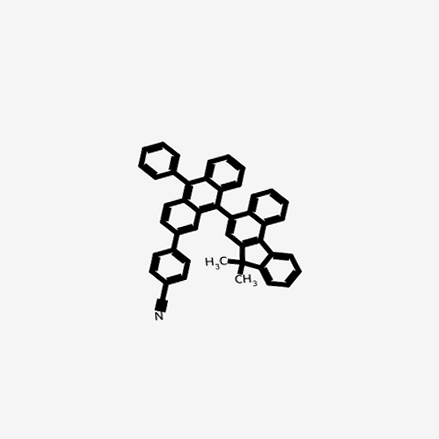 CC1(C)c2ccccc2-c2c1cc(-c1c3ccccc3c(-c3ccccc3)c3ccc(-c4ccc(C#N)cc4)cc13)c1ccccc21